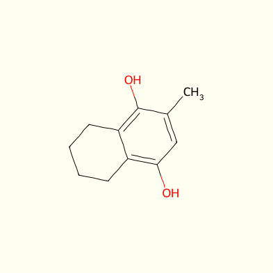 Cc1cc(O)c2c(c1O)CCCC2